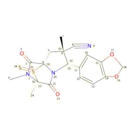 CN1C(=O)[C@@]23C[C@](C)(C#N)[C@H](c4ccc5c(c4)OCO5)N2C(=O)[C@]1(C)S3=S